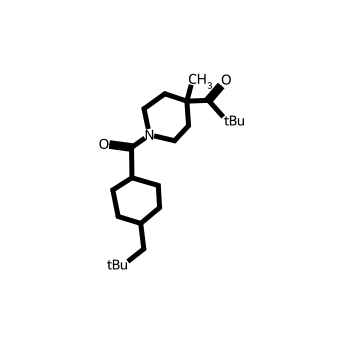 CC(C)(C)CC1CCC(C(=O)N2CCC(C)(C(=O)C(C)(C)C)CC2)CC1